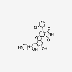 O=C1NC(=O)c2c1c(-c1ccccc1Cl)cc1oc3c(CC(O)N4CCNCC4)cc(O)cc3c21